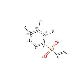 C=CS(=O)(=O)c1ccc(C)c(C)c1C